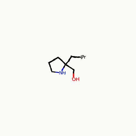 CC(C)CC1(CO)CCCN1